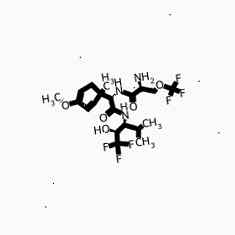 COC1=CCC(C)([C@H](NC(=O)[C@@H](N)COC(F)(F)F)C(=O)N[C@@H](C(C)C)[C@H](O)C(F)(F)F)C=C1